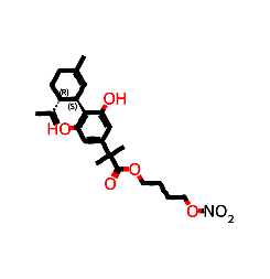 C=C(C)[C@@H]1CCC(C)=C[C@H]1c1c(O)cc(C(C)(C)C(=O)OCCCCO[N+](=O)[O-])cc1O